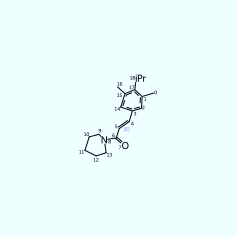 Cc1cc(/C=C/C(=O)N2CCCCC2)cc(C)c1C(C)C